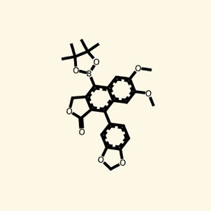 COc1cc2c(B3OC(C)(C)C(C)(C)O3)c3c(c(-c4ccc5c(c4)OCO5)c2cc1OC)C(=O)OC3